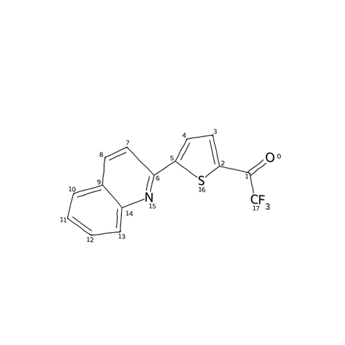 O=C(c1ccc(-c2ccc3ccccc3n2)s1)C(F)(F)F